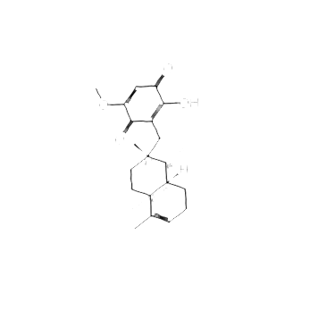 COC1=CC(=O)C(O)=C(C[C@@]2(C)CC[C@]3(C)C(C)=CCC[C@H]3[C@H]2C)C1=O